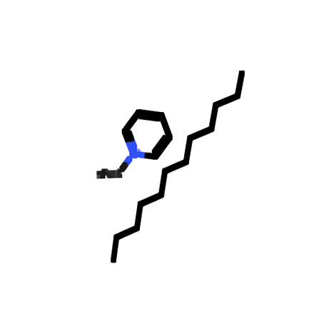 CCCCCCCCCCCC.CCCCC[n+]1ccccc1